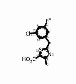 Cc1nc(Cc2cc(F)cc(Cl)c2)sc1C(=O)O